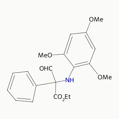 CCOC(=O)C(C=O)(Nc1c(OC)cc(OC)cc1OC)c1ccccc1